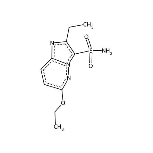 CCOc1ccc2nc(CC)c(S(N)(=O)=O)n2n1